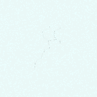 CCOCNCc1cccc(Cl)c1F